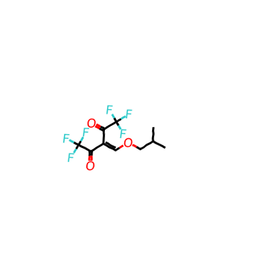 CC(C)COC=C(C(=O)C(F)(F)F)C(=O)C(F)(F)F